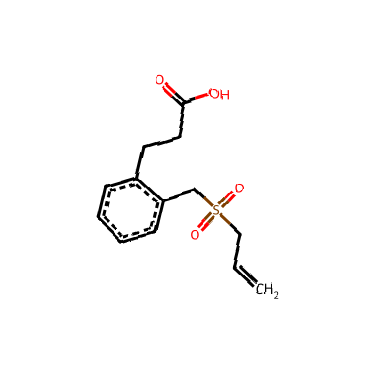 C=CCS(=O)(=O)Cc1ccccc1CCC(=O)O